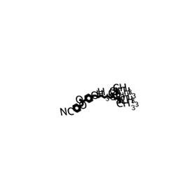 C[Si](C)(C)C[Si](C)(CCCCCOc1ccc(C(=O)Oc2ccc(C#N)cc2)cc1)O[Si](C)(C)C